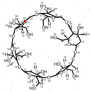 OC[C@H]1OC2C[C@@H](O)[C@@H]1COC1C[C@@H](O)[C@H](OC3C[C@@H](O)[C@H](OC4C[C@@H](O)[C@H](OC5C[C@@H](O)[C@H](OC6C[C@@H](O)[C@H](O2)[C@@H](CO)O6)[C@@H](CO)O5)[C@@H](CO)O4)[C@@H](CO)O3)[C@@H](CO)O1